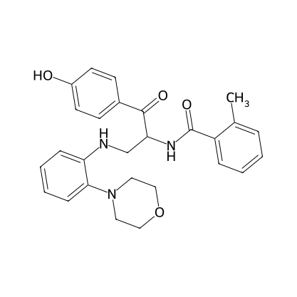 Cc1ccccc1C(=O)NC(CNc1ccccc1N1CCOCC1)C(=O)c1ccc(O)cc1